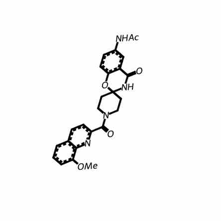 COc1cccc2ccc(C(=O)N3CCC4(CC3)NC(=O)c3cc(NC(C)=O)ccc3O4)nc12